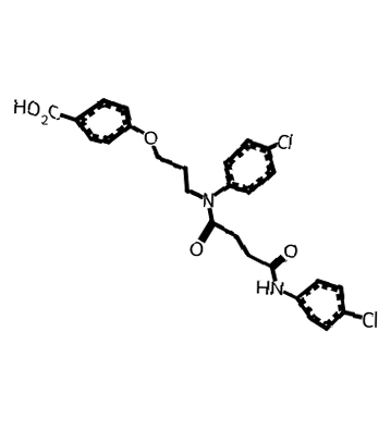 O=C(CCC(=O)N(CCCOc1ccc(C(=O)O)cc1)c1ccc(Cl)cc1)Nc1ccc(Cl)cc1